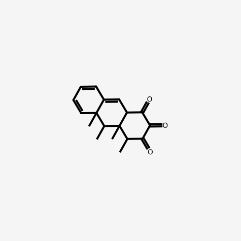 CC1C(=O)C(=O)C(=O)C2C=C3C=CC=CC3(C)C(C)C12C